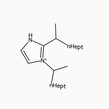 CCCCCCCC(C)c1[nH]cc[n+]1C(C)CCCCCCC